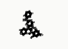 CN(c1c(F)cc(F)cc1F)c1nc2cnc(Nc3ccccc3)nc2n1C1CCOCC1